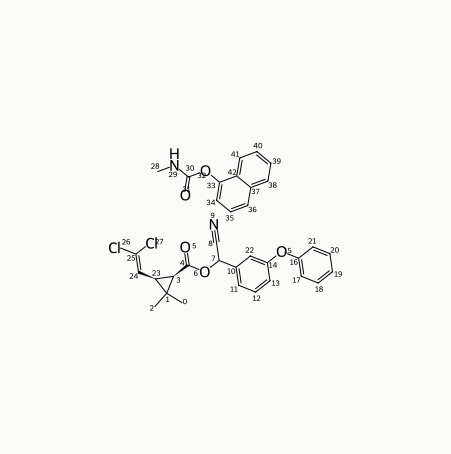 CC1(C)[C@H](C(=O)OC(C#N)c2cccc(Oc3ccccc3)c2)[C@@H]1C=C(Cl)Cl.CNC(=O)Oc1cccc2ccccc12